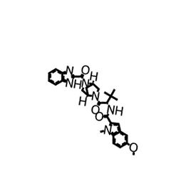 COc1ccc2c(c1)cc(C(=O)N[C@H](C(=O)N1C[C@@H]3C[C@H]1CN3C(=O)c1nc3ccccc3[nH]1)C(C)(C)C)n2C